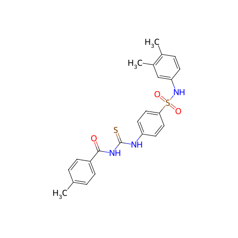 Cc1ccc(C(=O)NC(=S)Nc2ccc(S(=O)(=O)Nc3ccc(C)c(C)c3)cc2)cc1